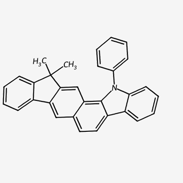 CC1(C)c2ccccc2-c2cc3ccc4c5ccccc5n(-c5ccccc5)c4c3cc21